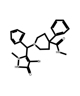 CNC(=O)C1(c2ccccc2)CCN(C(c2ccccc2)c2c(Br)c(=O)[nH]n2C)CC1